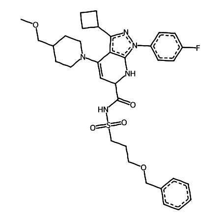 COCC1CCN(C2=CC(C(=O)NS(=O)(=O)CCCOCc3ccccc3)Nc3c2c(C2CCC2)nn3-c2ccc(F)cc2)CC1